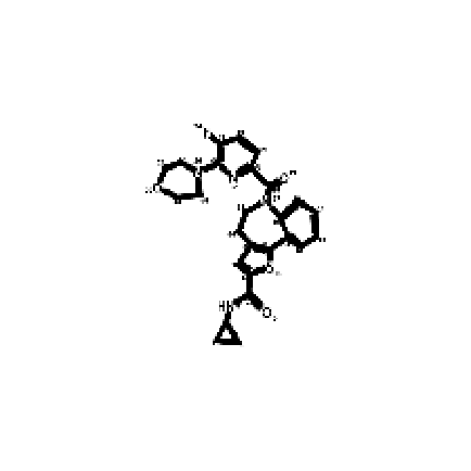 O=C(NC1CC1)c1cc2c(s1)-c1ccccc1N(C(=O)c1ccc(F)c(N3CCOCC3)n1)CC2